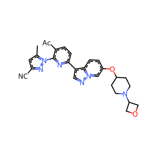 CC(=O)c1ccc(-c2cnn3cc(OC4CCN(C5COC5)CC4)ccc23)nc1-n1nc(C#N)cc1C